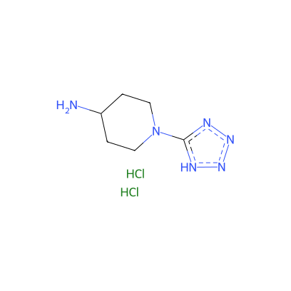 Cl.Cl.NC1CCN(c2nnn[nH]2)CC1